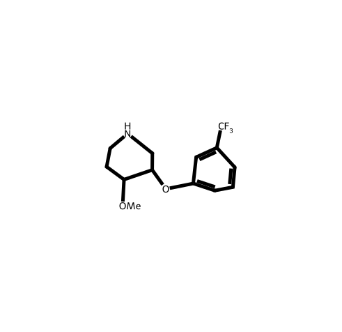 COC1CCNCC1Oc1cccc(C(F)(F)F)c1